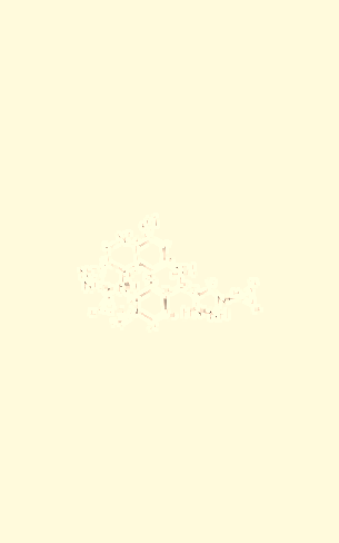 N#Cc1cnc2c(Cl)cc(NC(C3=CN(C4CC4)NN3)c3ccc(F)cc3)cc2c1NC1(C#N)CC1